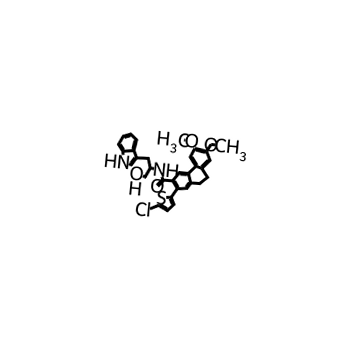 COc1cc2c(cc1OC)-c1cc(C(=O)NC(CO)Cc3c[nH]c4ccccc34)c(-c3ccc(Cl)s3)cc1CC2